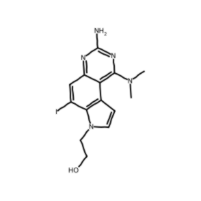 CN(C)c1nc(N)nc2cc(I)c3c(ccn3CCO)c12